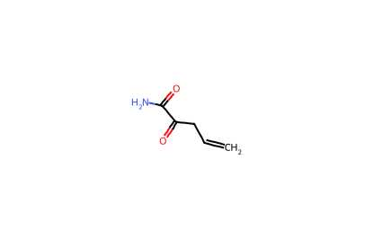 C=CCC(=O)C(N)=O